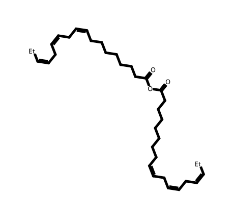 CC/C=C\C/C=C\C/C=C\CCCCCCCC(=O)OC(=O)CCCCCCC/C=C\C/C=C\C/C=C\CC